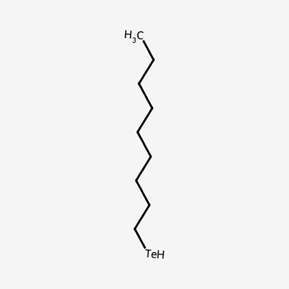 CCCCCCCCC[TeH]